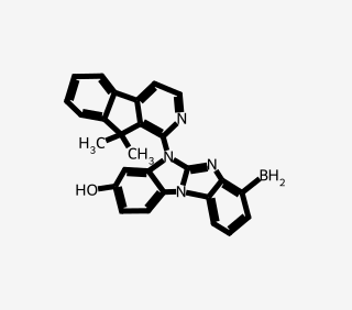 Bc1cccc2c1nc1n(-c3nccc4c3C(C)(C)c3ccccc3-4)c3cc(O)ccc3n21